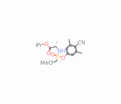 COCP(=O)(N[C@@H](C)C(=O)OC(C)C)Oc1cc(C)c(C#N)c(C)c1